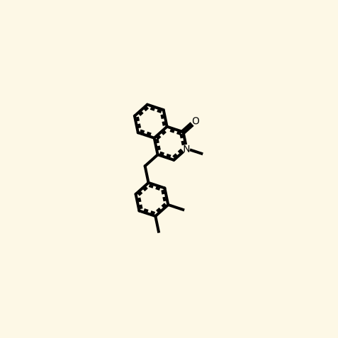 Cc1ccc(Cc2cn(C)c(=O)c3ccccc23)cc1C